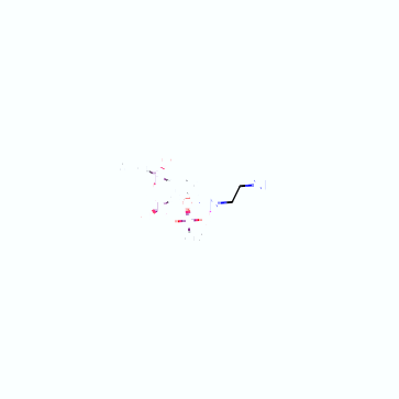 CC(=O)OP(=O)(ONCCN)OP(=O)(OC(C)=O)OP(=O)(OC(C)=O)OC(C)=O